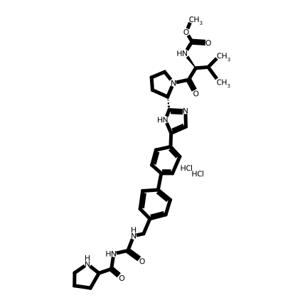 COC(=O)N[C@H](C(=O)N1CCC[C@H]1c1ncc(-c2ccc(-c3ccc(CNC(=O)NC(=O)C4CCCN4)cc3)cc2)[nH]1)C(C)C.Cl.Cl